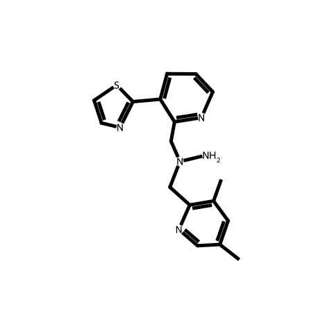 Cc1cnc(CN(N)Cc2ncccc2-c2nccs2)c(C)c1